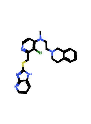 CN(CCN1CCc2ccccc2C1)c1ccnc(CSc2nc3ncccc3[nH]2)c1Cl